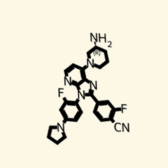 N#Cc1ccc(-c2nc3c(N4CCC[C@@H](N)C4)ccnc3n2-c2ccc(N3CCCC3)cc2F)cc1F